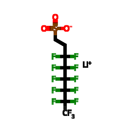 O=S(=O)([O-])CCC(F)(F)C(F)(F)C(F)(F)C(F)(F)C(F)(F)C(F)(F)F.[Li+]